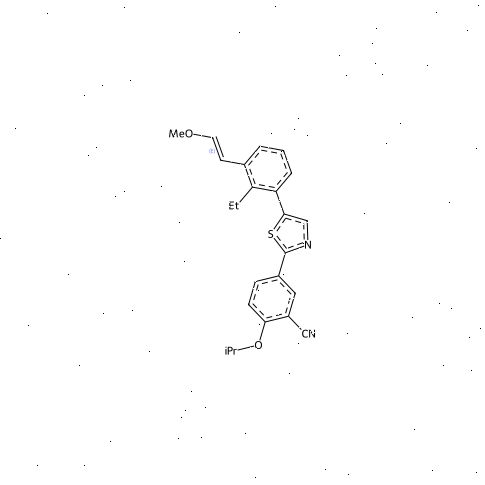 CCc1c(/C=C/OC)cccc1-c1cnc(-c2ccc(OC(C)C)c(C#N)c2)s1